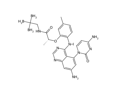 BC(B)(B)CNC(=O)[C@@H](C)Oc1cc(C)ccc1N(I)c1ncnc2cc(N)cc(-n3ccc(N)nc3=O)c12